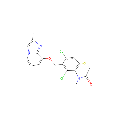 Cc1cn2cccc(OCc3c(Cl)cc4c(c3Cl)N(C)C(=O)CS4)c2n1